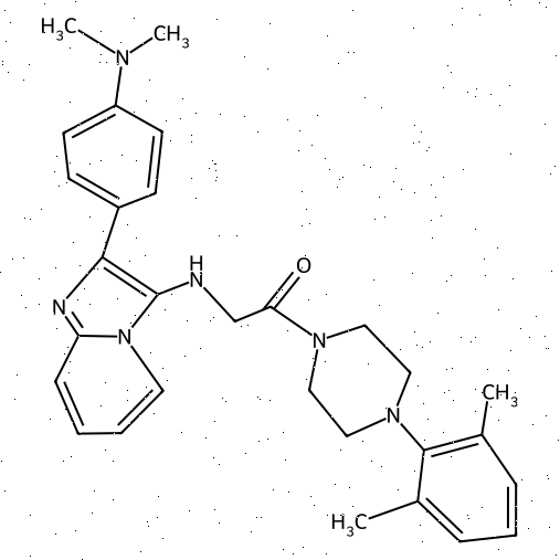 Cc1cccc(C)c1N1CCN(C(=O)CNc2c(-c3ccc(N(C)C)cc3)nc3ccccn23)CC1